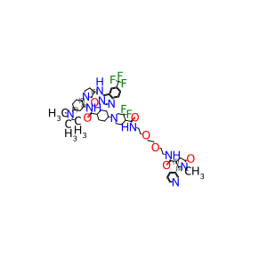 CC(C)N(C)[C@@H]1CC[C@H](N2CC[C@H](Nc3ncnc4ccc(C(F)(F)F)cc34)C2=O)[C@H](NC(=O)C2CCC(N3CCC(C(=O)NCCOCCOCCNC(=O)[C@H]4CC(=O)N(C)[C@@H]4c4cccnc4)C(F)(F)C3)CC2)C1